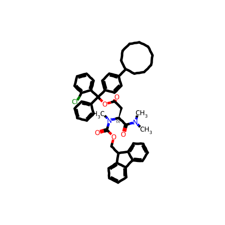 CN(C)C(=O)[C@H](CC(=O)OC(c1ccccc1)(c1ccc(C2CCCCCCCCC2)cc1)c1ccccc1Cl)N(C)C(=O)OCC1c2ccccc2-c2ccccc21